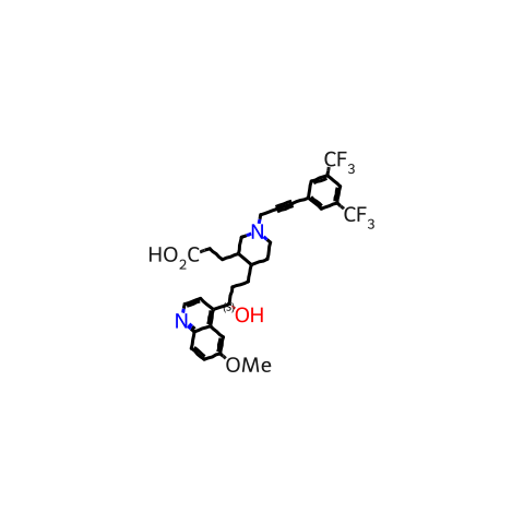 COc1ccc2nccc([C@@H](O)CCC3CCN(CC#Cc4cc(C(F)(F)F)cc(C(F)(F)F)c4)CC3CCC(=O)O)c2c1